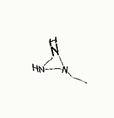 Cn1[nH][nH]1